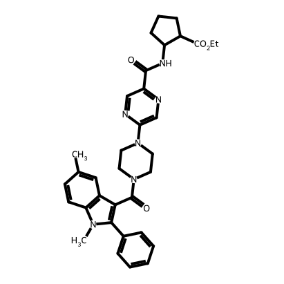 CCOC(=O)C1CCCC1NC(=O)c1cnc(N2CCN(C(=O)c3c(-c4ccccc4)n(C)c4ccc(C)cc34)CC2)cn1